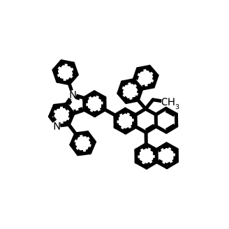 CCC1(c2cccc3ccccc23)c2cc(-c3ccc4c(c3)c3c(-c5ccccc5)nccc3n4-c3ccccc3)ccc2C(c2cccc3ccccc23)=C2C=CC=CC21